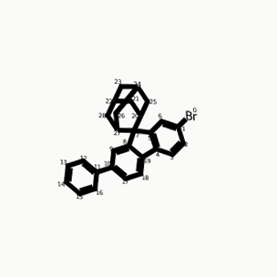 Brc1ccc2c(c1)C1(c3cc(-c4ccccc4)ccc3-2)C2CC3CC(C2)CC1C3